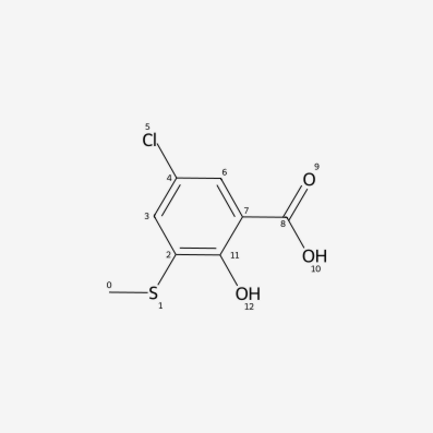 CSc1cc(Cl)cc(C(=O)O)c1O